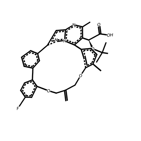 C=C1COc2cc(ccc2C)-c2c([C@H](OC(C)(C)C)C(=O)O)c(C)nc3cc(nn23)-c2cccc(c2)-c2ccc(F)cc2OC1